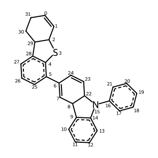 C1=CC2Sc3c(C4=CC5c6ccccc6N(c6ccccc6)C5C=C4)cccc3C2CC1